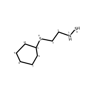 SNCCSC1CCCCC1